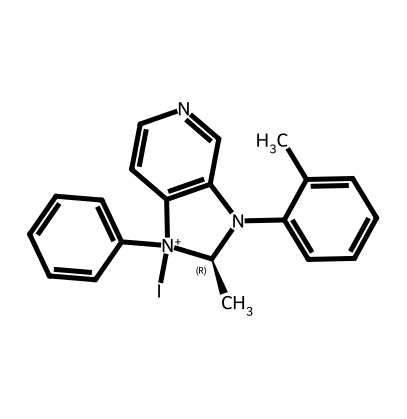 Cc1ccccc1N1c2cnccc2[N+](I)(c2ccccc2)[C@@H]1C